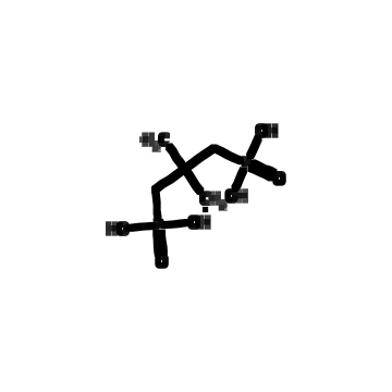 [CH2]C([CH2])(CP(=O)(O)O)CP(=O)(O)O